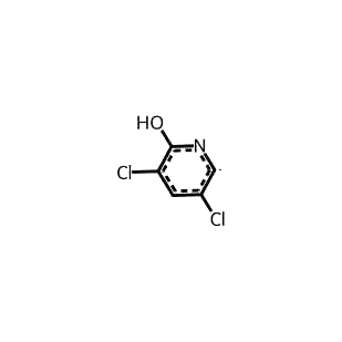 Oc1n[c]c(Cl)cc1Cl